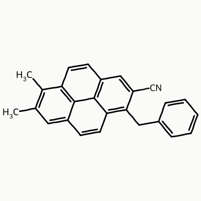 Cc1cc2ccc3c(Cc4ccccc4)c(C#N)cc4ccc(c1C)c2c43